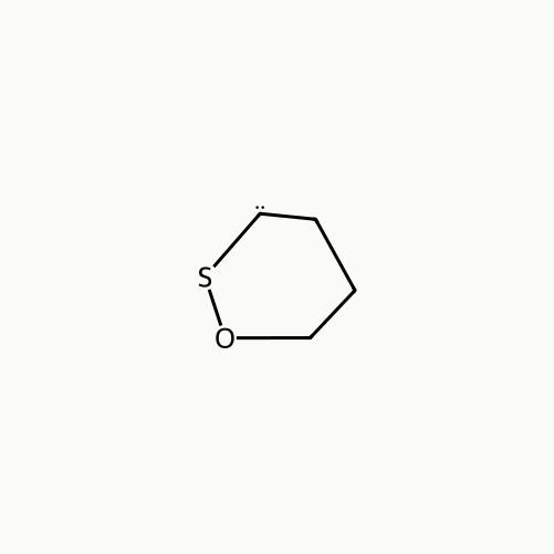 [C]1CCCOS1